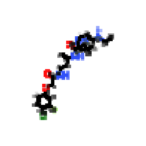 C=C(CCNC(=O)COc1ccc(Cl)c(F)c1)NC(=O)C1NC2=C(NCC)C=C1CCC2